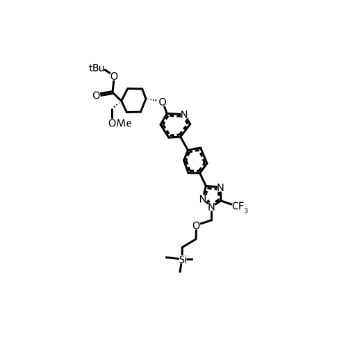 COC[C@]1(C(=O)OC(C)(C)C)CC[C@H](Oc2ccc(-c3ccc(-c4nc(C(F)(F)F)n(COCC[Si](C)(C)C)n4)cc3)cn2)CC1